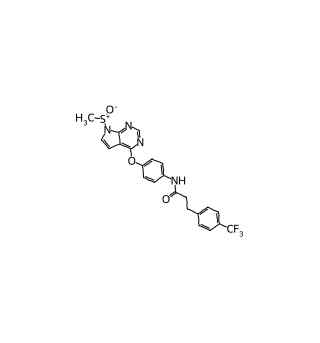 C[S+]([O-])n1ccc2c(Oc3ccc(NC(=O)CCc4ccc(C(F)(F)F)cc4)cc3)ncnc21